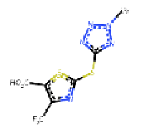 CC(C)n1nnc(Sc2nc(C(F)(F)F)c(C(=O)O)s2)n1